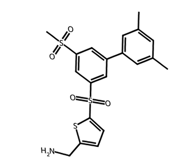 Cc1cc(C)cc(-c2cc(S(C)(=O)=O)cc(S(=O)(=O)c3ccc(CN)s3)c2)c1